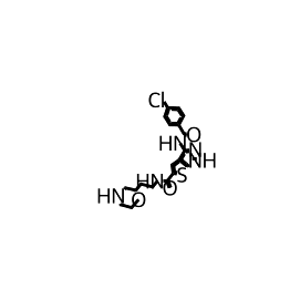 O=C(Nc1n[nH]c2sc(C(=O)NCCC3CNCCO3)cc12)c1ccc(Cl)cc1